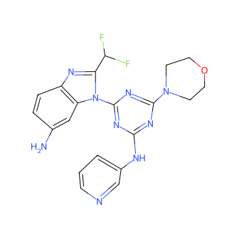 Nc1ccc2nc(C(F)F)n(-c3nc(Nc4cccnc4)nc(N4CCOCC4)n3)c2c1